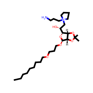 CCCCCCCCCOCCCO[C@H]1O[C@H]([C@H](O)C[N+]2(CCCN)CCCC2)[C@@H]2OC(C)(C)O[C@H]12